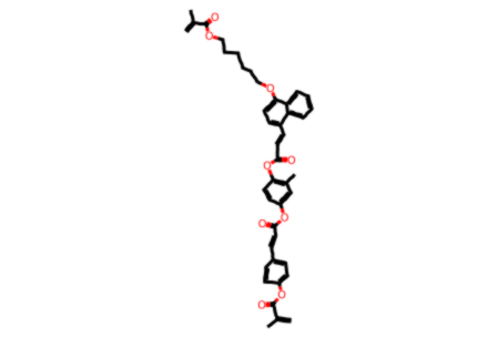 C=C(C)C(=O)OCCCCCCOc1ccc(/C=C/C(=O)Oc2ccc(OC(=O)/C=C/c3ccc(OC(=O)C(=C)C)cc3)cc2C)c2ccccc12